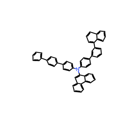 c1ccc(-c2ccc(-c3ccc(N(c4ccc(-c5cccc(-c6cccc7ccccc67)c5)cc4)c4cc5ccccc5c5ccccc45)cc3)cc2)cc1